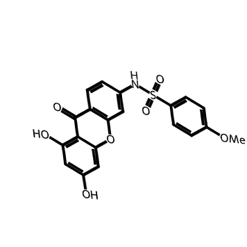 COc1ccc(S(=O)(=O)Nc2ccc3c(=O)c4c(O)cc(O)cc4oc3c2)cc1